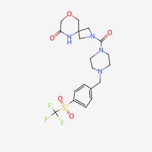 O=C1COCC2(CN(C(=O)N3CCN(Cc4ccc(S(=O)(=O)C(F)(F)F)cc4)CC3)C2)N1